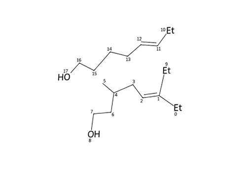 CCC(=CCC(C)CCO)CC.CCC=CCCCCO